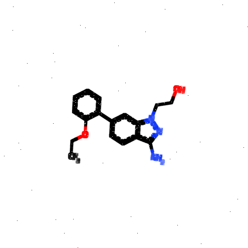 Nc1nn(CCO)c2cc(-c3ccccc3OCC(F)(F)F)ccc12